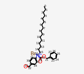 CCCCCCCCCCCCCCCC[N+](Br)(C(=O)OCc1ccccc1)c1ccc([C]=O)cc1